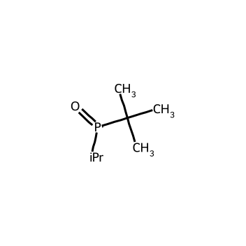 CC(C)[P](=O)C(C)(C)C